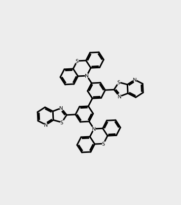 c1ccc2c(c1)Sc1ccccc1N2c1cc(-c2cc(-c3nc4cccnc4s3)cc(N3c4ccccc4Sc4ccccc43)c2)cc(-c2nc3cccnc3s2)c1